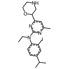 CCN(c1nc(C)cc(C2CNCCO2)n1)c1ccc(C(C)C)cc1I